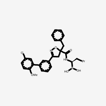 COc1ccc(Cl)cc1-c1cccc(C2=NOC(Cc3ccccc3)(C(=O)N[C@@H](CC(C)C)B(O)O)C2)c1